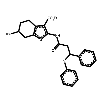 CCOC(=O)c1c(NC(=O)CC(Sc2ccccc2)c2ccccc2)sc2c1CCC(C(C)(C)C)C2